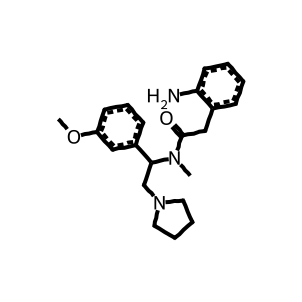 COc1cccc(C(CN2CCCC2)N(C)C(=O)Cc2ccccc2N)c1